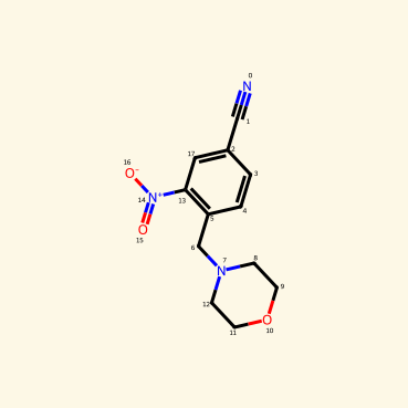 N#Cc1ccc(CN2CCOCC2)c([N+](=O)[O-])c1